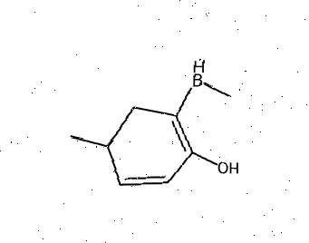 CBC1=C(O)C=CC(C)C1